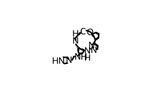 C1=C/CNCc2cc(NCCN3CCNCC3)cc(c2)Nc2nccc(n2)-c2cccc(c2)OCC/1